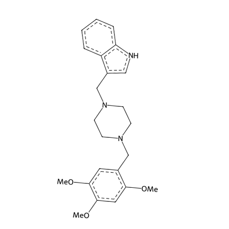 COc1cc(OC)c(OC)cc1CN1CCN(Cc2c[nH]c3ccccc23)CC1